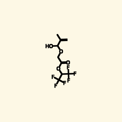 C=C(C)C(O)OCC(=O)OC(C(F)(F)F)C(F)(F)F